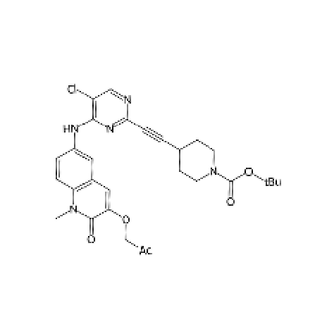 CC(=O)COc1cc2cc(Nc3nc(C#CC4CCN(C(=O)OC(C)(C)C)CC4)ncc3Cl)ccc2n(C)c1=O